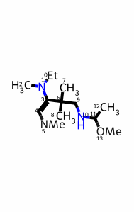 CCN(C)/C(=C/NC)C(C)(C)CNC(C)OC